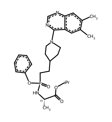 Cc1cc2ncnc(N3CCC(CCP(=O)(N[C@@H](C)C(=O)OC(C)C)Oc4ccccc4)CC3)c2cc1C